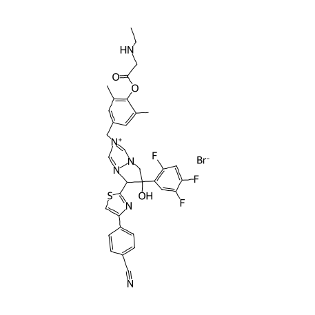 CCNCC(=O)Oc1c(C)cc(C[n+]2cnn(CC(O)(c3cc(F)c(F)cc3F)C(C)c3nc(-c4ccc(C#N)cc4)cs3)c2)cc1C.[Br-]